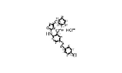 Cc1csc(Nc2ncc(SCc3ccc(Cl)cc3)cc2OCc2ccccc2)n1.Cl